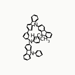 CC1(C)c2ccccc2-c2ccc(-n3c4ccccc4c4ccc(-c5cccc(N(c6ccccc6)c6ccc7c8ccccc8n(-c8ccccc8)c7c6)c5)cc43)cc21